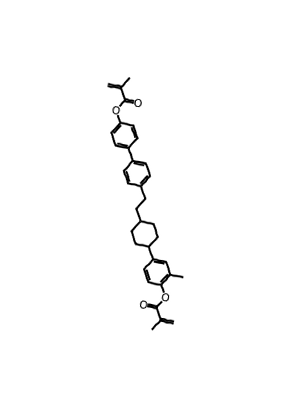 C=C(C)C(=O)Oc1ccc(-c2ccc(CCC3CCC(c4ccc(OC(=O)C(=C)C)c(C)c4)CC3)cc2)cc1